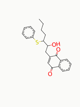 CCCCC(Sc1ccccc1)C(O)CC1=CC(=O)c2ccccc2C1=O